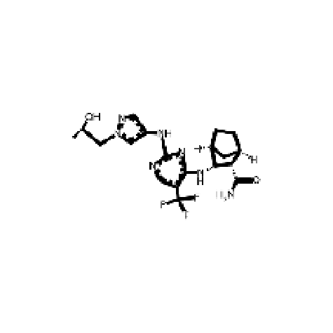 C[C@@H](O)Cn1cc(Nc2ncc(C(F)(F)F)c(N[C@@H]3[C@H]4CC[C@H](C4)[C@@H]3C(N)=O)n2)cn1